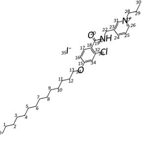 CCCCCCCCCCCCCCOc1ccc(C(=O)NCc2ccc[n+](CCC)c2)c(Cl)c1.[I-]